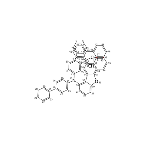 CC1(C)c2ccccc2-c2ccc(N(c3ccc(-c4ccccc4)cc3)c3cccc4oc5c6ccccc6c(-c6ccccc6-c6ccccc6)cc5c34)cc21